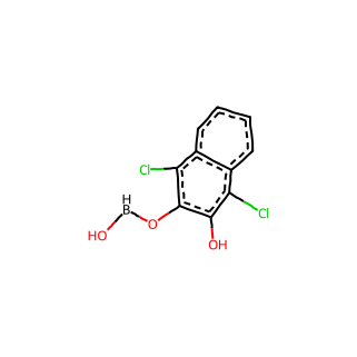 OBOc1c(O)c(Cl)c2ccccc2c1Cl